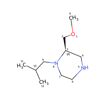 COC[C@H]1CNCCN1CC(C)C